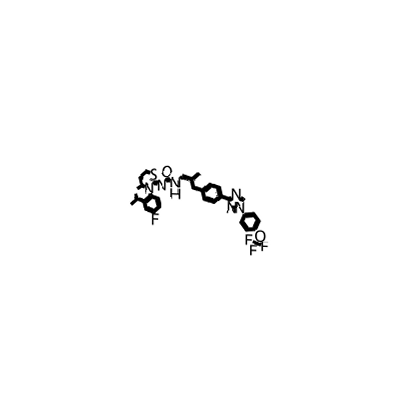 CC(CNC(=O)/N=C1\SCCC(C)N1c1ccc(F)cc1C(C)C)Cc1ccc(-c2ncn(-c3ccc(OC(F)(F)F)cc3)n2)cc1